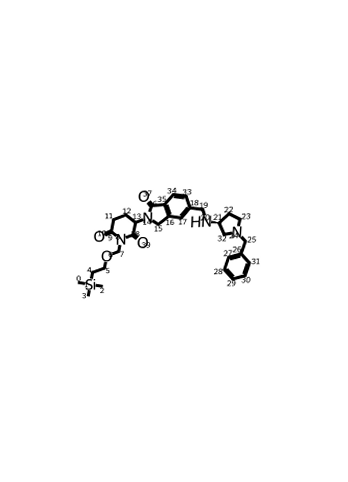 C[Si](C)(C)CCOCN1C(=O)CCC(N2Cc3cc(CN[C@H]4CCN(Cc5ccccc5)C4)ccc3C2=O)C1=O